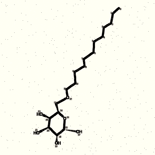 CCCCCCCCCCCCOC[C@H]1O[C@H](O)[C@H](O)[C@@H](O)[C@H]1O